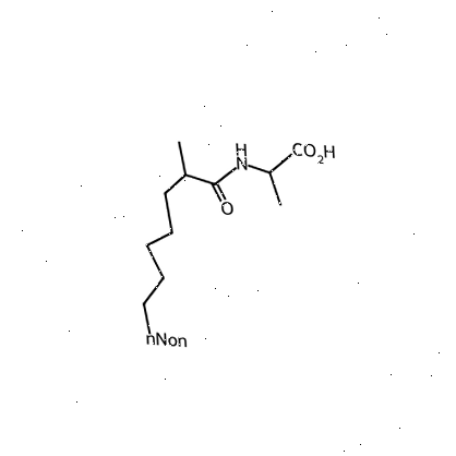 CCCCCCCCCCCCCCC(C)C(=O)NC(C)C(=O)O